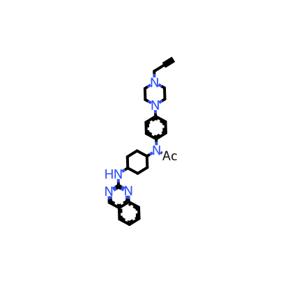 C#CCN1CCN(c2ccc(N(C(C)=O)C3CCC(Nc4ncc5ccccc5n4)CC3)cc2)CC1